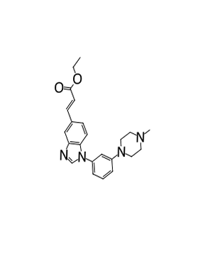 CCOC(=O)C=Cc1ccc2c(c1)ncn2-c1cccc(N2CCN(C)CC2)c1